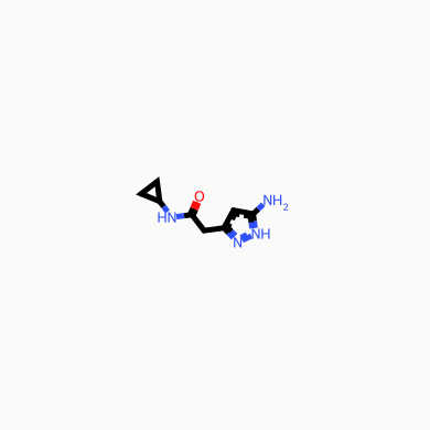 Nc1cc(CC(=O)NC2CC2)n[nH]1